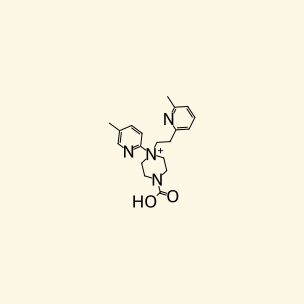 Cc1ccc([N+]2(CCc3cccc(C)n3)CCN(C(=O)O)CC2)nc1